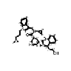 COCCCn1cc(CN(C(=O)[C@H]2CNC[C@@H](C(=O)NC(CCO)c3ccccc3)C2)C2CC2)c2ccccc21